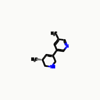 Cc1cncc(C2=C[C@@H](C)CNC2)c1